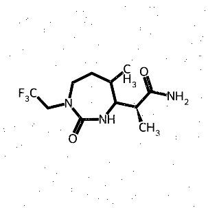 CC1CCN(CC(F)(F)F)C(=O)NC1[C@H](C)C(N)=O